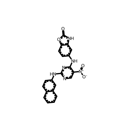 O=c1[nH]c2cc(Nc3nc(Nc4ccc5ccccc5c4)ncc3[N+](=O)[O-])ccc2o1